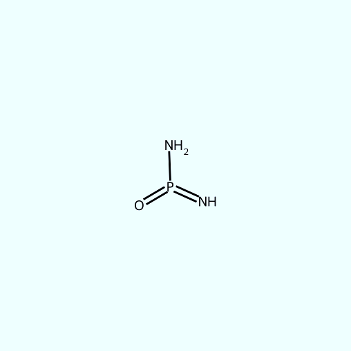 N=P(N)=O